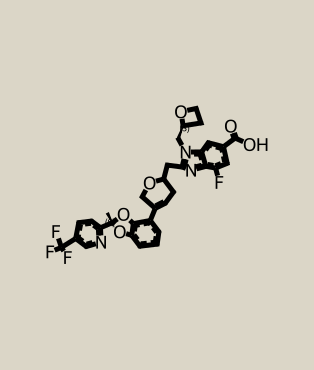 C[C@]1(c2ccc(C(F)(F)F)cn2)Oc2cccc(C3=CCC(Cc4nc5c(F)cc(C(=O)O)cc5n4C[C@@H]4CCO4)OC3)c2O1